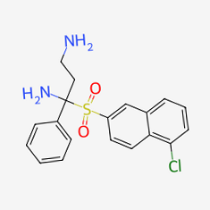 NCCC(N)(c1ccccc1)S(=O)(=O)c1ccc2c(Cl)cccc2c1